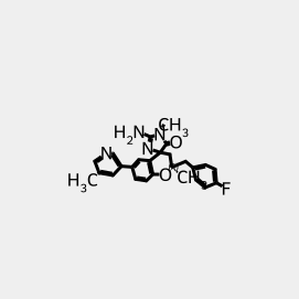 Cc1cncc(-c2ccc3c(c2)C2(C[C@@](C)(Cc4ccc(F)cc4)O3)N=C(N)N(C)C2=O)c1